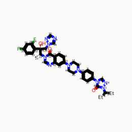 CCC(CC)n1ncn(-c2ccc(N3CCN(c4ccc5c(=O)n([C@H](C)[C@](O)(Cn6cncn6)c6ccc(F)cc6F)cnc5c4)CC3)cc2)c1=O